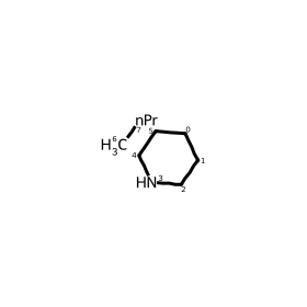 C1CCNCC1.CCCC